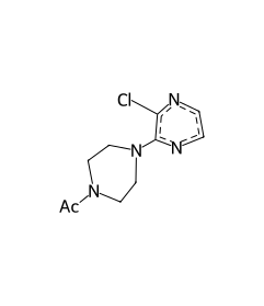 CC(=O)N1CCN(c2nccnc2Cl)CC1